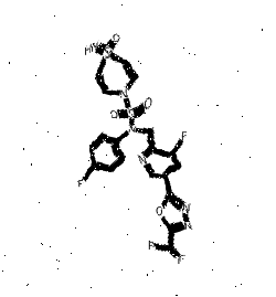 N=S1(=O)C=CN(S(=O)(=O)N(Cc2ncc(-c3nnc(C(F)F)o3)cc2F)c2ccc(F)cc2)C=C1